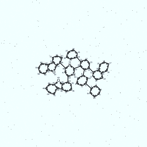 c1ccc(-c2cccc(-c3c(-c4cccc5ccccc45)ccc(-c4ccccc4)c3-c3nc(-c4cccc5c4oc4ccccc45)cc(-c4cccc5c4oc4ccccc45)n3)c2)cc1